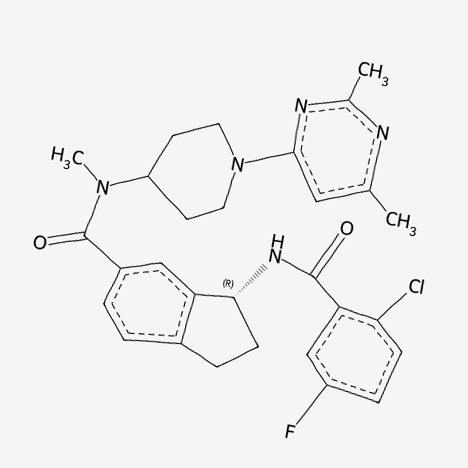 Cc1cc(N2CCC(N(C)C(=O)c3ccc4c(c3)[C@H](NC(=O)c3cc(F)ccc3Cl)CC4)CC2)nc(C)n1